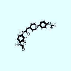 O=C(CC1CCN(c2ccc(OC(F)F)cc2)CC1)Nc1ccc2[nH]c(=O)oc2c1